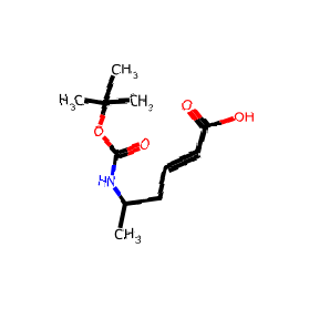 CC(CC=CC(=O)O)NC(=O)OC(C)(C)C